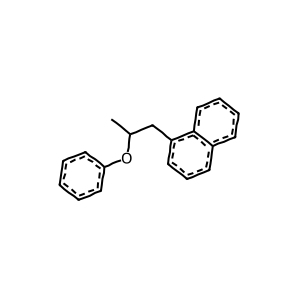 CC(Cc1cccc2ccccc12)Oc1ccccc1